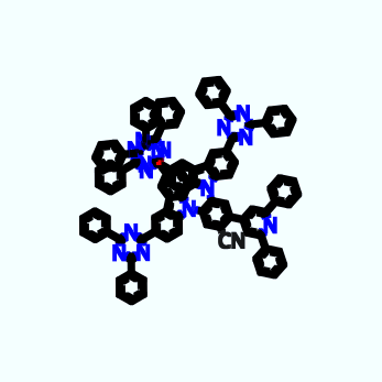 N#Cc1cc(-n2c3ccc(-c4nc(-c5ccccc5)nc(-c5ccccc5)n4)cc3c3cc(-c4nc(-c5ccccc5)nc(-c5ccccc5)n4)ccc32)c(-n2c3ccc(-c4nc(-c5ccccc5)nc(-c5ccccc5)n4)cc3c3cc(-c4nc(-c5ccccc5)nc(-c5ccccc5)n4)ccc32)cc1-c1cc(-c2ccccc2)nc(-c2ccccc2)c1